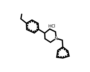 CCc1ccc(C2CCN(Cc3ccccc3)CC2)cc1.Cl